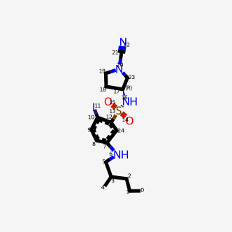 CCCC(C)CNc1ccc(I)c(S(=O)(=O)N[C@@H]2CCN(C#N)C2)c1